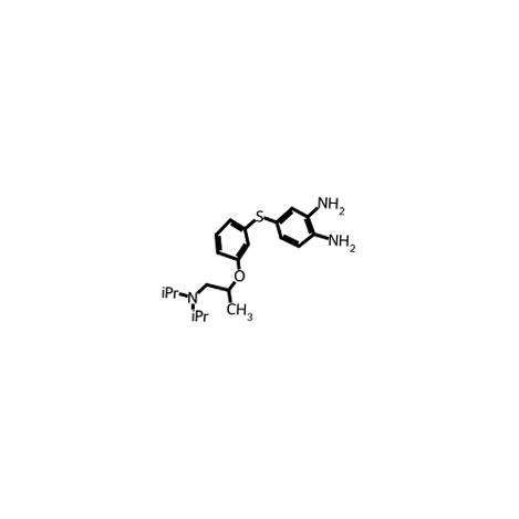 CC(CN(C(C)C)C(C)C)Oc1cccc(Sc2ccc(N)c(N)c2)c1